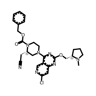 CN1CCC[C@H]1COc1nc(N2CCN(C(=O)OCc3ccccc3)[C@@H](CC#N)C2)c2cnc(Cl)cc2n1